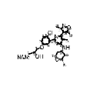 CNC[C@@H](O)COc1ccc(Cl)c(-c2nc(N[C@H]3CCO[C@@H](C)C3)c(C)c(-c3c(C)noc3C)n2)c1